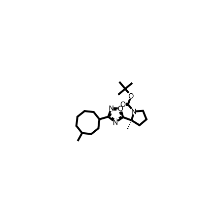 CC1CCCCC(c2noc([C@]3(C)CCCN3C(=O)OC(C)(C)C)n2)CC1